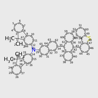 CC1(C)c2ccccc2-c2ccc(N(c3ccc4c(c3)C(C)(C)c3ccccc3-4)c3ccc4cc(-c5c6ccccc6c(-c6cccc7sc8ccccc8c67)c6ccccc56)ccc4c3)cc21